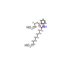 C[C@H](CSc1ccccc1NC(=O)CCCCCCCCCC(=O)O)CC(=O)O